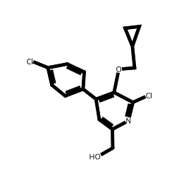 OCc1cc(-c2ccc(Cl)cc2)c(OCC2CC2)c(Cl)n1